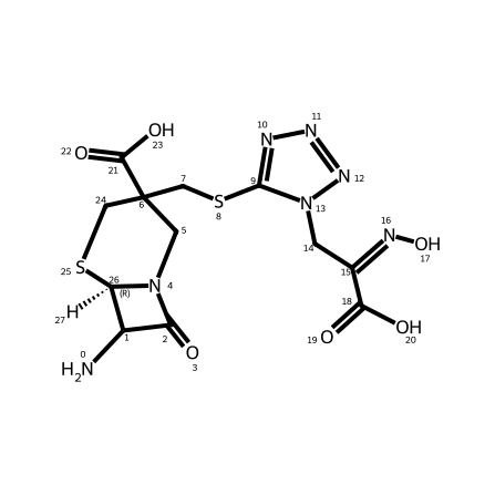 NC1C(=O)N2CC(CSc3nnnn3CC(=NO)C(=O)O)(C(=O)O)CS[C@H]12